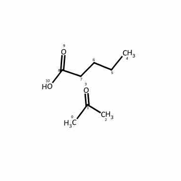 CC(C)=O.CCCCC(=O)O